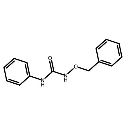 O=C(NOCc1ccccc1)Nc1ccccc1